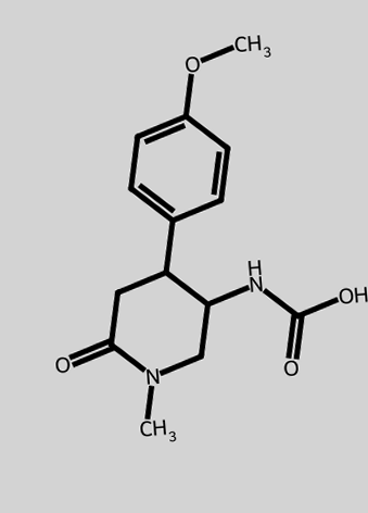 COc1ccc(C2CC(=O)N(C)CC2NC(=O)O)cc1